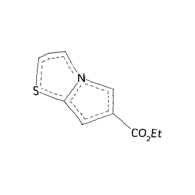 CCOC(=O)c1cc2sccn2c1